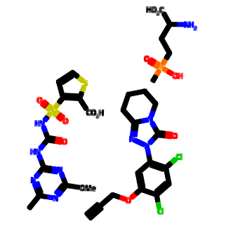 C#CCOc1cc(-n2nc3n(c2=O)CCCC3)c(Cl)cc1Cl.COc1nc(C)nc(NC(=O)NS(=O)(=O)c2ccsc2C(=O)O)n1.CP(=O)(O)CCC(N)C(=O)O